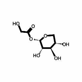 O=C(CO)O[C@@H]1OC[C@H](O)[C@@H](O)[C@@H]1O